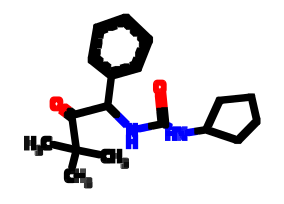 CC(C)(C)C(=O)C(NC(=O)NC1CCCC1)c1ccccc1